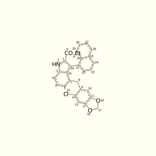 CCOC(=O)c1[nH]c2cccc(Cc3cc4c(cc3Cl)OCO4)c2c1-c1cccc2ccccc12